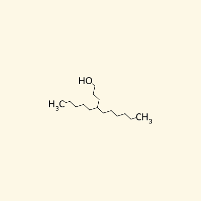 CCCCCCC(CCCO)CCCCC